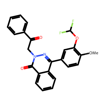 COc1ccc(-c2nn(CC(=O)c3ccccc3)c(=O)c3ccccc23)cc1OC(F)F